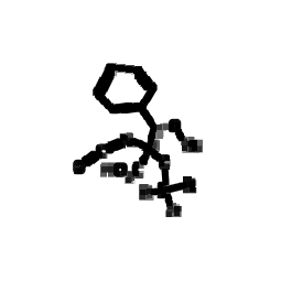 CC[Si](CC)(CC)O[C@@](N=C=O)(C(=O)O)[C@@H](OC(C)(C)C)c1ccccc1